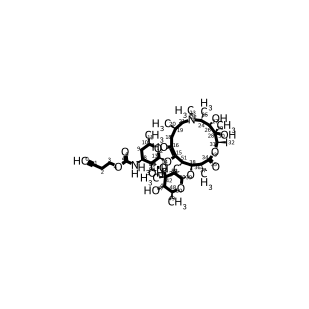 C#CCCOC(=O)N[C@H]1C[C@@H](C)O[C@@H](O/C2=C(\O)C[C@@H](C)CN(C)[C@H](C)[C@@H](O)[C@](C)(O)[C@@H](I)OC(=O)[C@H](C)[C@@H](O[C@H]3C[C@@](C)(OC)[C@@H](O)[C@H](C)O3)[C@@H]2C)[C@@H]1O